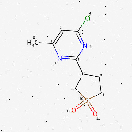 Cc1cc(Cl)nc(C2CCS(=O)(=O)C2)n1